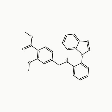 COC(=O)c1ccc(CNc2ccccc2-n2cnc3ccccc32)cc1OC